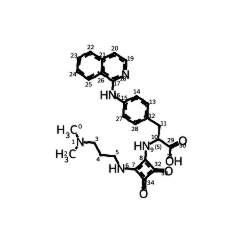 CN(C)CCCNc1c(N[C@@H](Cc2ccc(Nc3nccc4ccccc34)cc2)C(=O)O)c(=O)c1=O